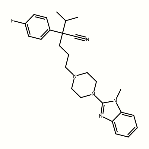 CC(C)C(C#N)(CCCN1CCN(c2nc3ccccc3n2C)CC1)c1ccc(F)cc1